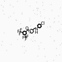 O=C(c1cc(C(F)(F)F)cc(C(F)(F)F)c1)N1CCCC(CNc2ccc(Cl)cc2)C1